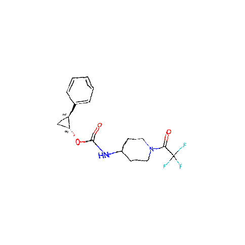 O=C(NC1CCN(C(=O)C(F)(F)F)CC1)O[C@@H]1C[C@H]1c1ccccc1